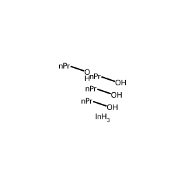 CCCO.CCCO.CCCO.CCCO.[InH3]